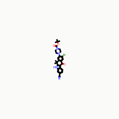 CC(C)(C)OC(=O)N1CCN(c2cc3c(cc2Br)C(=O)c2c([nH]c4cc(C#N)ccc24)C3(C)C)CC1